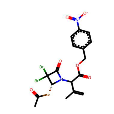 C=C(C)C(C(=O)OCc1ccc([N+](=O)[O-])cc1)N1C(=O)C(Br)(Br)[C@H]1SC(C)=O